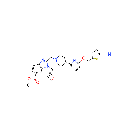 COC(=O)c1ccc2nc(CN3CCC(c4cccc(OCc5ccc(C#N)s5)n4)CC3)n(C[C@@H]3CCO3)c2c1